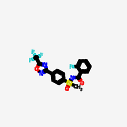 CS(=O)(=NC(=O)c1ccccc1F)c1ccc(-c2noc(C(F)(F)F)n2)cc1